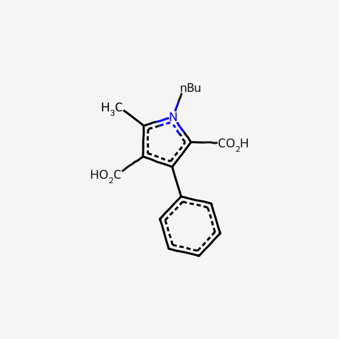 CCCCn1c(C)c(C(=O)O)c(-c2ccccc2)c1C(=O)O